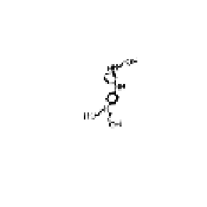 OCCNC1=CC(Nc2ccc(N(CCO)CCO)cc2)C=CC1